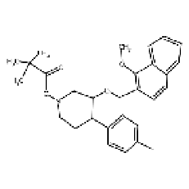 COc1c(COC2CN(OC(=O)C(C)(C)C)CCC2c2ccc(F)cc2)ccc2ccccc12